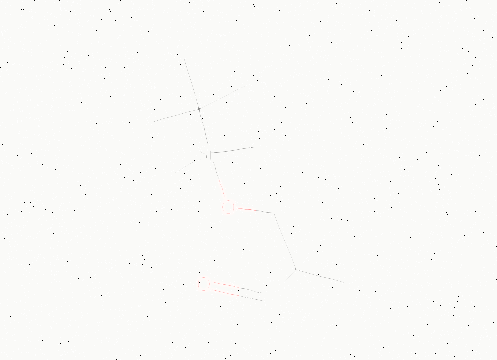 CC(C=O)CO[Si](C)(C)C(C)(C)C